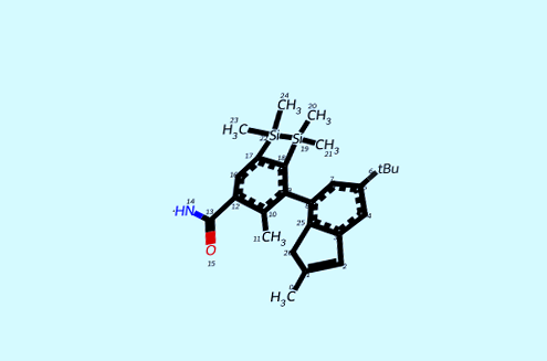 CC1=Cc2cc(C(C)(C)C)cc(-c3c(C)c(C([NH])=O)cc4c3[Si](C)(C)[Si]4(C)C)c2C1